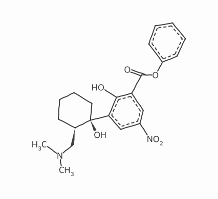 CN(C)C[C@H]1CCCC[C@]1(O)c1cc([N+](=O)[O-])cc(C(=O)Oc2ccccc2)c1O